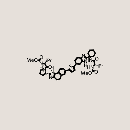 COC(=O)N[C@H](C(=O)NC1(c2nc3ccc(-c4ccc(-c5ccc6c(c5)CCc5nc([C@@H]7CCCN7C(=O)[C@@H](NC(=O)OC)C(C)C)[nH]c5-6)s4)cc3[nH]2)CCCCC1)C(C)C